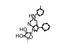 Cc1cccc(NN2C=Nc3c(c(-c4ccccc4)cn3[C@@H]3O[C@H](C)[C@@H](O)[C@H]3O)C2)c1